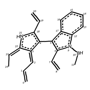 C=C/C=c1/c(-c2c(C=C)n(BC)c3ccccc23)c(C=C)[nH]/c1=C/C